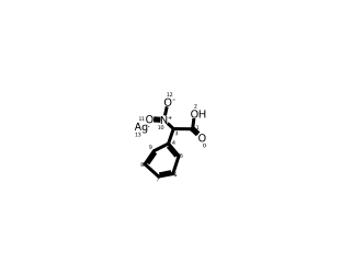 O=C(O)C(c1ccccc1)[N+](=O)[O-].[Ag]